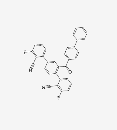 N#Cc1c(F)cccc1-c1ccc(-c2cccc(F)c2C#N)c(C(=O)c2ccc(-c3ccccc3)cc2)c1